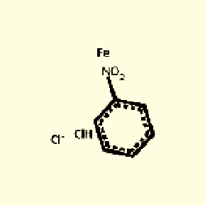 Cl.O=[N+]([O-])c1ccccc1.[Cl-].[Fe]